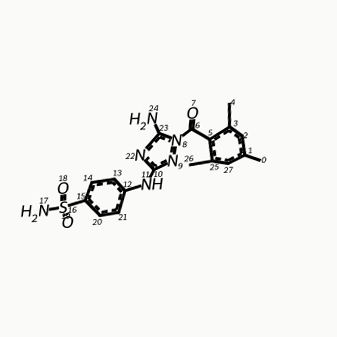 Cc1cc(C)c(C(=O)n2nc(Nc3ccc(S(N)(=O)=O)cc3)nc2N)c(C)c1